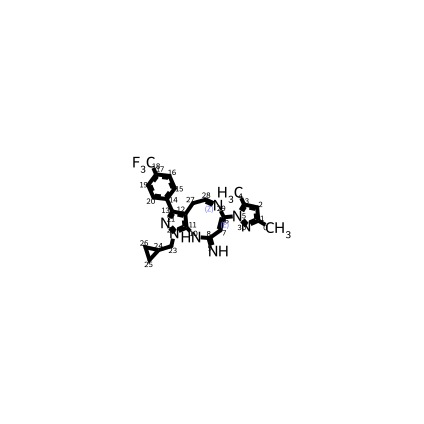 Cc1cc(C)n(C2=C/C(=N)Nc3c(c(-c4ccc(C(F)(F)F)cc4)nn3CC3CC3)C/C=N\2)n1